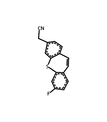 N#CCc1ccc2c(c1)Sc1cc(F)ccc1C=C2